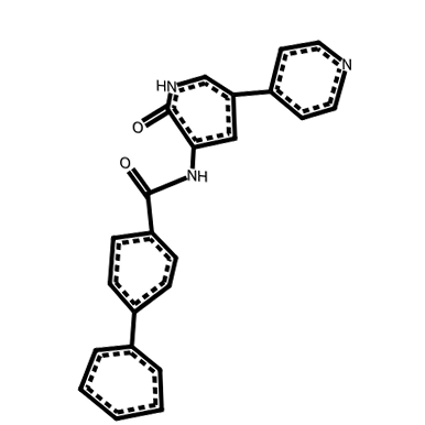 O=C(Nc1cc(-c2ccncc2)c[nH]c1=O)c1ccc(-c2ccccc2)cc1